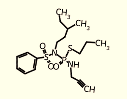 C#CCNP(=O)(SCCC)N(CCC(C)CC)S(=O)(=O)c1ccccc1